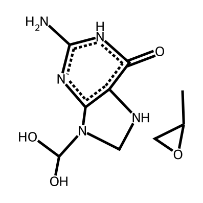 CC1CO1.Nc1nc2c(c(=O)[nH]1)NCN2C(O)O